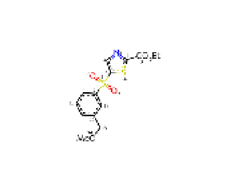 CCOC(=O)c1ncc(S(=O)(=O)c2cccc(COC)c2)s1